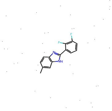 Cc1ccc2nc(-c3cccc(F)c3F)[nH]c2c1